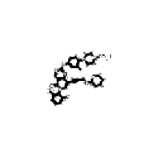 Cc1cc(Nc2ncc3c(=O)n(-c4c(Cl)cccc4Cl)cc(C#CCOC4CCCCO4)c3n2)ccc1N1CCN(C(=O)O)CC1